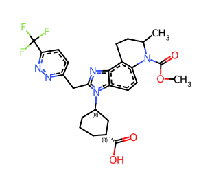 COC(=O)N1c2ccc3c(nc(Cc4ccc(C(F)(F)F)nn4)n3[C@@H]3CCC[C@@H](C(=O)O)C3)c2CCC1C